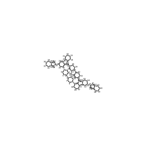 c1ccc2c(c1)-c1ccccc1C21c2cc(-n3c4ccccc4c4cc(-c5nc6ccccc6s5)ccc43)ccc2-c2ccc(-n3c4ccccc4c4cc(-c5nc6ccccc6s5)ccc43)cc21